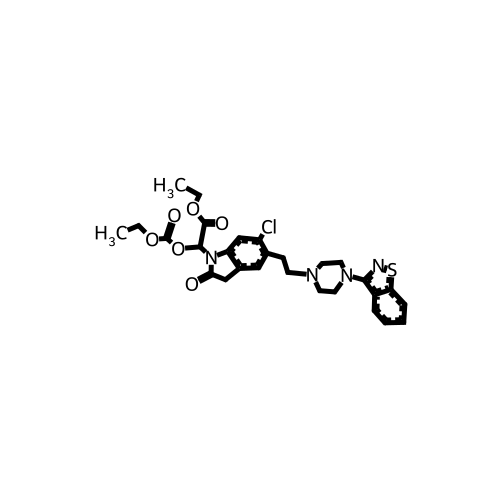 CCOC(=O)OC(C(=O)OCC)N1C(=O)Cc2cc(CCN3CCN(c4nsc5ccccc45)CC3)c(Cl)cc21